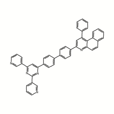 c1ccc(-c2cc(-c3ccc(-c4ccc(-c5cc(-c6cccnc6)nc(-c6cccnc6)n5)cc4)cc3)nc3ccc4ccccc4c23)cc1